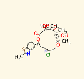 Cc1nc2cc([C@@H]3C/C=C(\Cl)CCO[C@@H](C)[C@@H](O)[C@@H](C)C(=O)C(C)(C)[C@@H](O)CC(=O)O3)ccc2s1